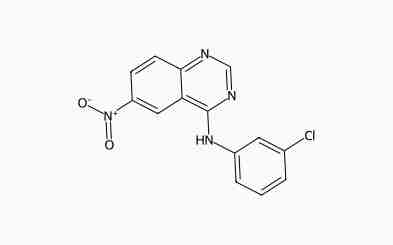 O=[N+]([O-])c1ccc2ncnc(Nc3cccc(Cl)c3)c2c1